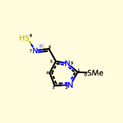 CSc1nccc(/C=N/S)n1